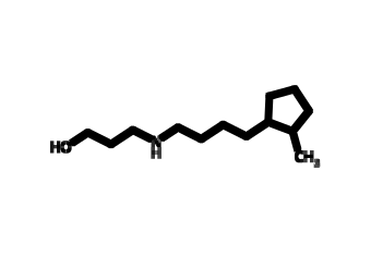 CC1CCCC1CCCCNCCCO